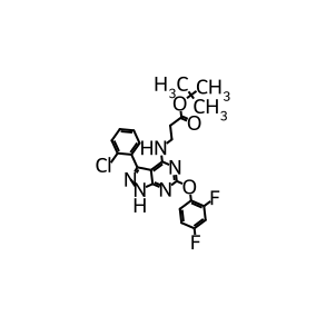 CC(C)(C)OC(=O)CCNc1nc(Oc2ccc(F)cc2F)nc2[nH]nc(-c3ccccc3Cl)c12